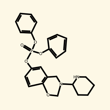 O=P(Oc1ccccc1)(Oc1ccccc1)Oc1ccc2c(c1)CN(C1CCCCN1)CO2